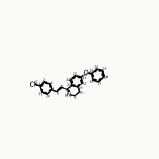 Clc1ccc(/C=C/C2=NCCc3cc(Oc4ccccc4)ccc32)cc1